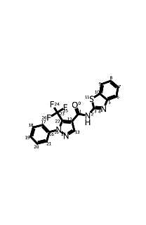 O=C(Nc1nc2ccccc2s1)c1cnn(-c2ccccc2)c1C(F)(F)F